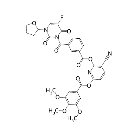 COc1cc(C(=O)Oc2ccc(C#N)c(OC(=O)c3cccc(C(=O)n4c(=O)c(F)cn(C5CCCO5)c4=O)c3)n2)cc(OC)c1OC